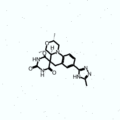 Cc1nnc(-c2ccc3c(c2)CC2(C(=O)NC(=O)NC2=O)[C@H]2[C@H](C)O[C@H](C)CN32)[nH]1